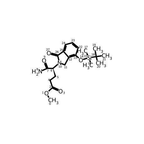 COC(=O)CC[C@@H](C(N)=O)N1Cc2c(O[Si](C)(C)C(C)(C)C)cccc2C1=O